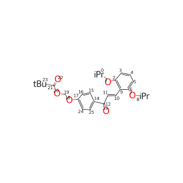 CC(C)Oc1cccc(OC(C)C)c1/C=C/C(=O)c1ccc(OCOC(=O)C(C)(C)C)cc1